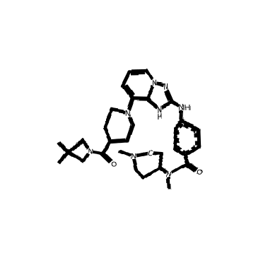 CN1CCC(N(C)C(=O)c2ccc(NC3=NN4C=CC=C(N5CCC(C(=O)N6CC(C)(C)C6)CC5)C4N3)cc2)CC1